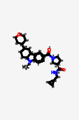 CN1c2ccc(C(=O)N3CC[C@H](C(=O)NCC4CC4)C3)cc2C2CC(C3CCOCC3)CCC21